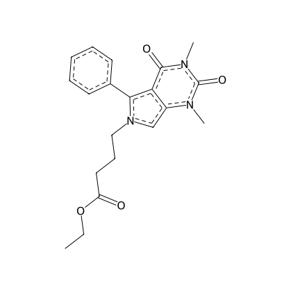 CCOC(=O)CCCn1cc2c(c1-c1ccccc1)c(=O)n(C)c(=O)n2C